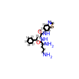 NCCC[C@H](N)C(=O)N[C@H](CCc1ccccc1)C(=O)Nc1ccc2ncsc2c1